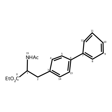 CCOC(=O)C(Cc1ccc(-c2ccccc2)cc1)NC(C)=O